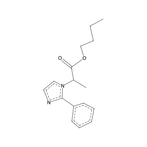 CCCCOC(=O)C(C)n1ccnc1-c1ccccc1